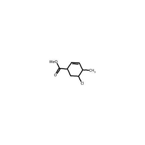 COC(=O)C1C=CC(C)C(Cl)C1